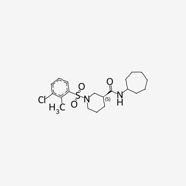 Cc1c(Cl)cccc1S(=O)(=O)N1CCC[C@H](C(=O)NC2CCCCCC2)C1